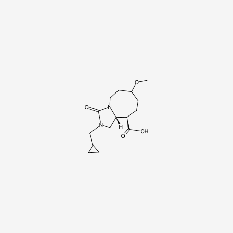 COC1CC[C@@H](C(=O)O)[C@@H]2CN(CC3CC3)C(=O)N2CC1